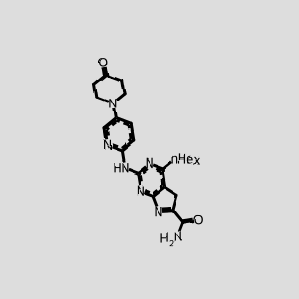 CCCCCCc1nc(Nc2ccc(N3CCC(=O)CC3)cn2)nc2c1CC(C(N)=O)=N2